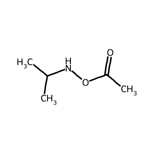 CC(=O)ONC(C)C